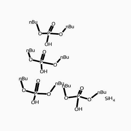 CCCCOP(=O)(O)OCCCC.CCCCOP(=O)(O)OCCCC.CCCCOP(=O)(O)OCCCC.CCCCOP(=O)(O)OCCCC.[SiH4]